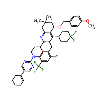 COc1ccc(CO[C@H]2CC(C)(C)Cc3nc(C4CCN(c5ncc(C6=CCCCC6)cn5)CC4)c(Cc4ccc(C(F)(F)F)cc4F)c(C4CCC(F)(F)CC4)c32)cc1